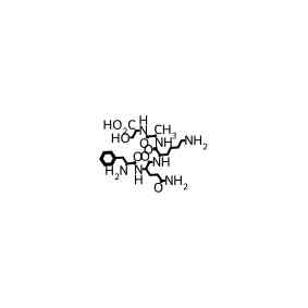 CC(NC(=O)C(CCCCN)NC(=O)C(CCC(N)=O)NC(=O)C(N)Cc1ccccc1)C(=O)NC(CO)C(=O)O